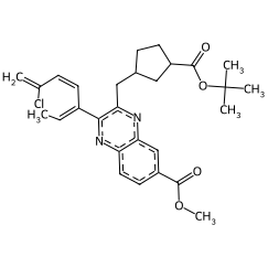 C=C(Cl)/C=C\C(=C/C)c1nc2ccc(C(=O)OC)cc2nc1CC1CCC(C(=O)OC(C)(C)C)C1